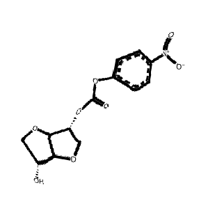 O=C(Oc1ccc([N+](=O)[O-])cc1)O[C@@H]1COC2C1OC[C@H]2O